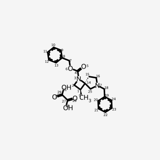 C[C@H]1CN(C(=O)OCc2ccccc2)[C@]12CCN(Cc1ccccc1)C2.O=C(O)C(=O)O